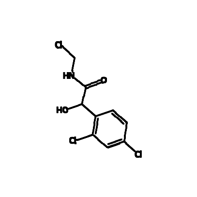 O=C(NCCl)C(O)c1ccc(Cl)cc1Cl